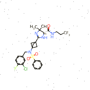 CC1(C)N=C(C23CC(N(Cc4ccc(F)c(Cl)c4)S(=O)(=O)c4ccccc4)(C2)C3)N[C@H]1C(=O)NCCC(F)(F)F